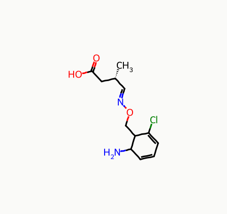 C[C@H](/C=N/OCC1C(Cl)=CC=CC1N)CC(=O)O